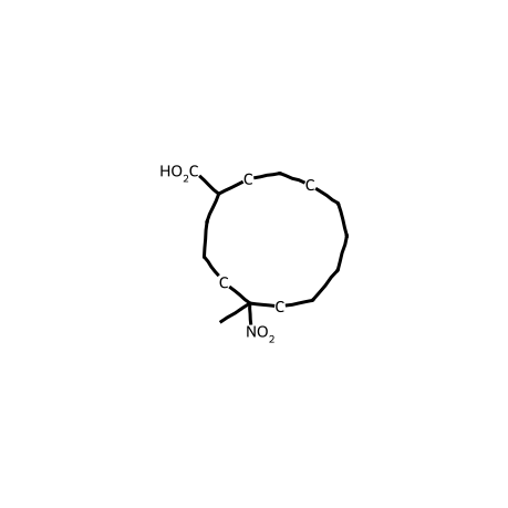 CC1([N+](=O)[O-])CCCCCCCCC(C(=O)O)CCC1